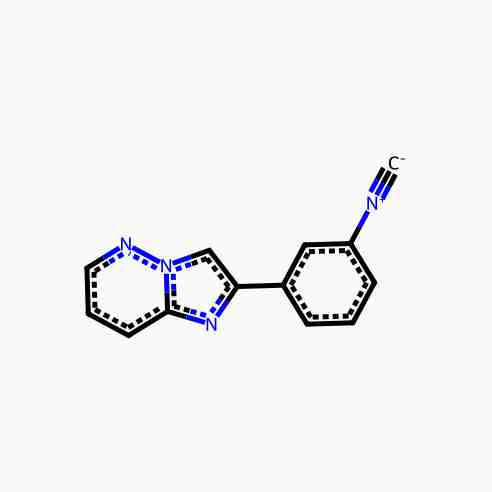 [C-]#[N+]c1cccc(-c2cn3ncccc3n2)c1